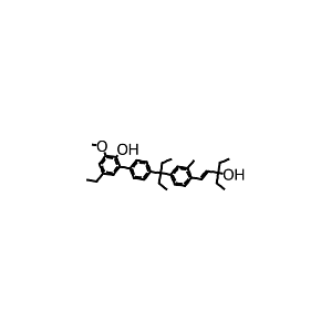 CCc1cc(OC)c(O)c(-c2ccc(C(CC)(CC)c3ccc(/C=C/C(O)(CC)CC)c(C)c3)cc2)c1